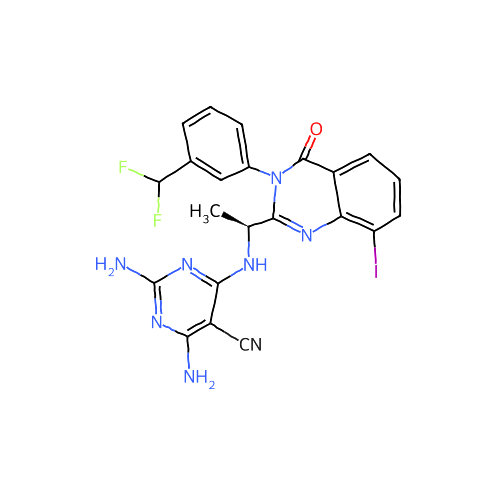 C[C@H](Nc1nc(N)nc(N)c1C#N)c1nc2c(I)cccc2c(=O)n1-c1cccc(C(F)F)c1